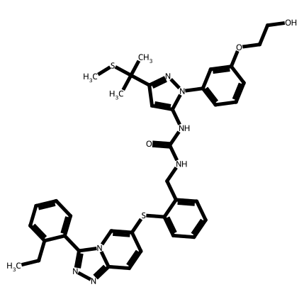 CCc1ccccc1-c1nnc2ccc(Sc3ccccc3CNC(=O)Nc3cc(C(C)(C)SC)nn3-c3cccc(OCCO)c3)cn12